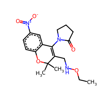 CCONCC1=C(N2CCCC2=O)c2cc([N+](=O)[O-])ccc2OC1(C)C